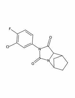 O=C1C2C3CCC(C3)N2C(=O)N1c1ccc(F)c(Cl)c1